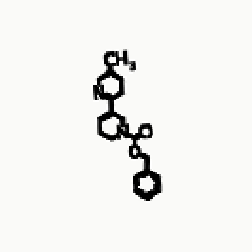 CC1CCC(C2=CCCN(C(=O)OCc3ccccc3)C2)=NC1